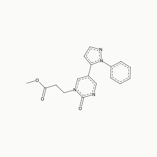 COC(=O)CCn1cc(-c2ccnn2-c2ccccc2)cnc1=O